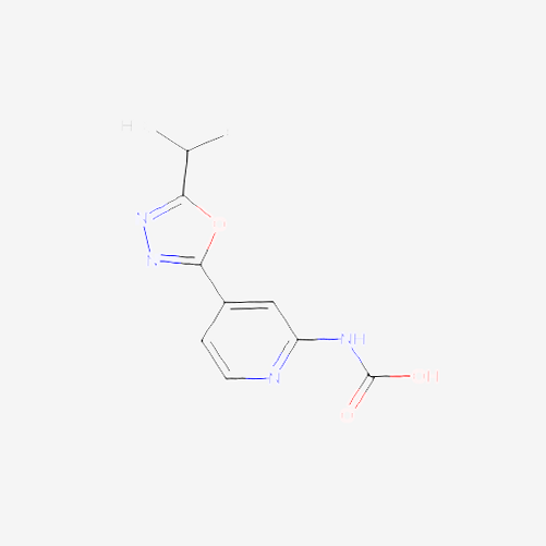 CC(C)c1nnc(-c2ccnc(NC(=O)O)c2)o1